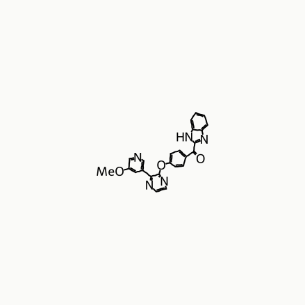 COc1cncc(-c2nccnc2Oc2ccc(C(=O)c3nc4ccccc4[nH]3)cc2)c1